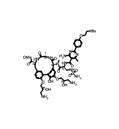 COC(=O)[C@@H]1Cc2ccc(OC[C@H](O)CN)c(c2)-c2cc(cc(OC[C@H](O)CN)c2O)[C@H](N(C)C(=O)[C@H](CNS(N)(=O)=O)NC(=O)c2c(C)nc(-c3ccc(OCCC(C)(C)C)cc3)nc2N)C(=O)N[C@@H](C)C(=O)N1